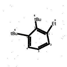 CCc1cccc(C(C)(C)C)c1C(C)(C)C